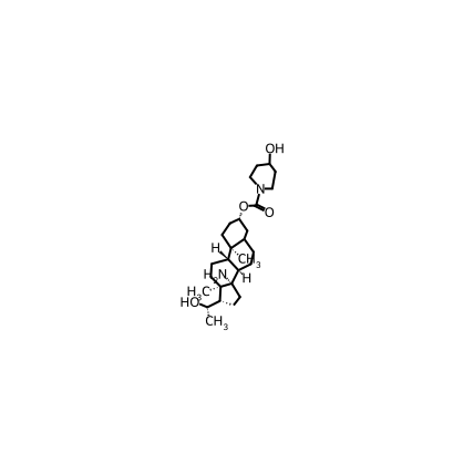 C[C@H](O)[C@H]1CC[C@]2(N)[C@@H]3CCC4C[C@@H](OC(=O)N5CCC(O)CC5)CC[C@]4(C)[C@H]3CC[C@]12C